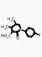 Cc1cn(-c2ccc(F)cc2)c(=O)c(C(=O)O)c1C